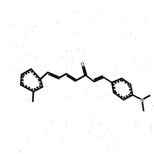 Cc1cccc(C=CC=CC(=O)C=Cc2ccc(N(C)C)cc2)c1